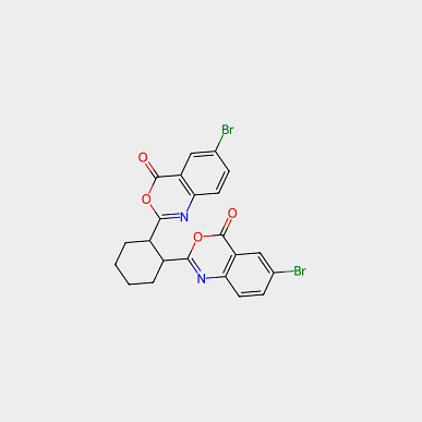 O=c1oc(C2CCCCC2c2nc3ccc(Br)cc3c(=O)o2)nc2ccc(Br)cc12